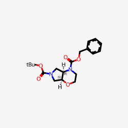 CC(C)(C)OC(=O)N1C[C@@H]2OCCN(C(=O)OCc3ccccc3)[C@@H]2C1